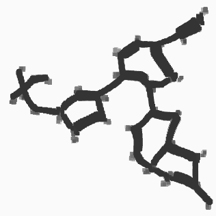 Cc1nc2cc(-c3nc(C#N)ccc3-c3cnn(CC(C)(C)C)c3)ccn2n1